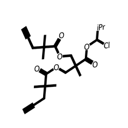 C#CCC(C)(C)C(=O)OCC(C)(COC(=O)C(C)(C)CC#C)C(=O)OC(Cl)C(C)C